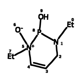 CCN1CC=C[N+]([O-])(CC)P1O